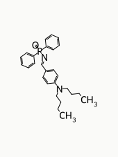 CCCCN(CCCC)c1ccc(C=NP(=O)(c2ccccc2)c2ccccc2)cc1